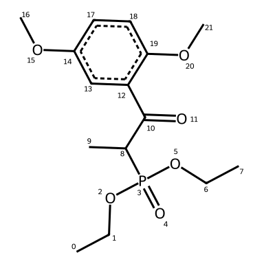 CCOP(=O)(OCC)C(C)C(=O)c1cc(OC)ccc1OC